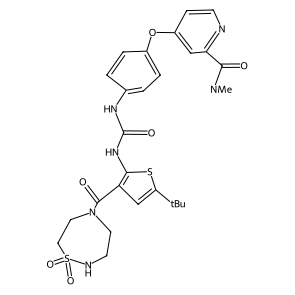 CNC(=O)c1cc(Oc2ccc(NC(=O)Nc3sc(C(C)(C)C)cc3C(=O)N3CCNS(=O)(=O)CC3)cc2)ccn1